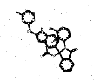 CC(=O)OC1(c2ccc3[nH]c(Nc4nccc(C)n4)nc3c2)c2ccccc2C(=O)N1c1cccc(Cl)c1F